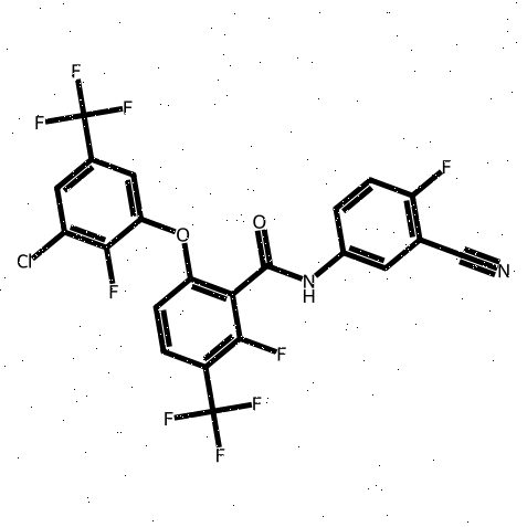 N#Cc1cc(NC(=O)c2c(Oc3cc(C(F)(F)F)cc(Cl)c3F)ccc(C(F)(F)F)c2F)ccc1F